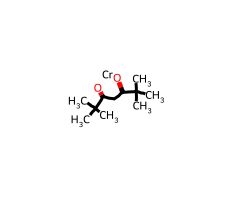 CC(C)(C)C(=O)CC(=O)C(C)(C)C.[Cr]